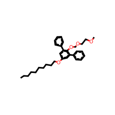 CCCCCCCCCCOc1cc(-c2ccccc2)c(OCOCCOC)c(-c2ccccc2)c1